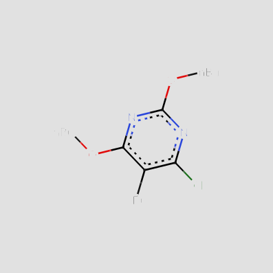 CCCCOc1nc(Cl)c(CC)c(OCCCC)n1